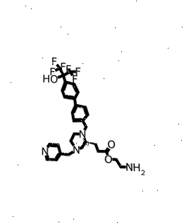 NCCOC(=O)CC[C@H]1CN(Cc2ccncc2)CCN1Cc1ccc(-c2ccc(C(O)(C(F)(F)F)C(F)(F)F)cc2)cc1